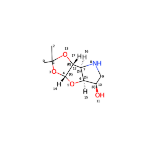 CC1(C)O[C@H]2O[C@H]3[C@H](NC[C@H]3O)[C@H]2O1